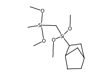 CO[Si](C)(C[Si](OC)(OC)C1CC2CCC1C2)OC